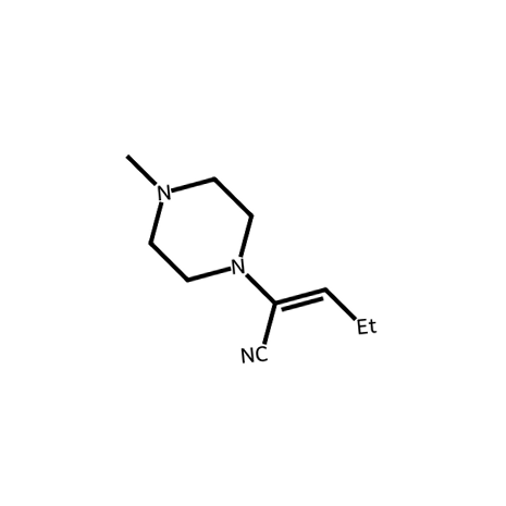 CCC=C(C#N)N1CCN(C)CC1